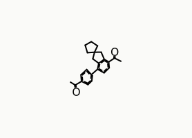 CC(=O)c1ccc(-c2ccc(C(C)=O)c3c2CC2(CCCC2)C3)cc1